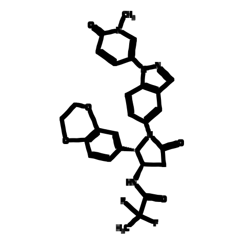 Cn1cc(-n2ncc3cc(N4C(=O)C[C@@H](NC(=O)C(C)(F)F)[C@@H]4c4ccc5c(c4)OCCO5)ccc32)ccc1=O